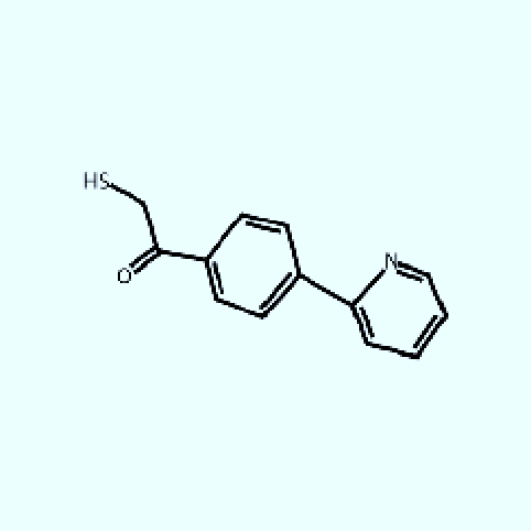 O=C(CS)c1ccc(-c2ccccn2)cc1